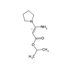 CC(C)OC(=O)/C=C(\N)N1CCCC1